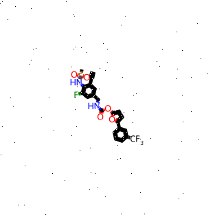 C#Cc1cc(CNC(=O)Oc2ccc(-c3cccc(C(F)(F)F)c3)o2)cc(F)c1NS(C)(=O)=O